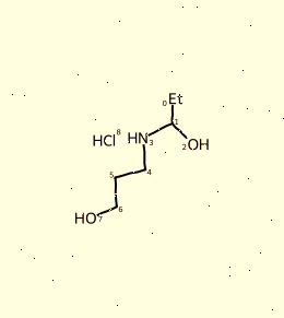 CCC(O)NCCCO.Cl